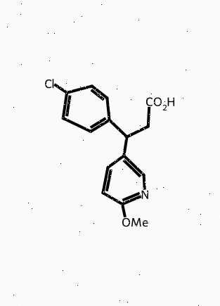 COc1ccc(C(CC(=O)O)c2ccc(Cl)cc2)cn1